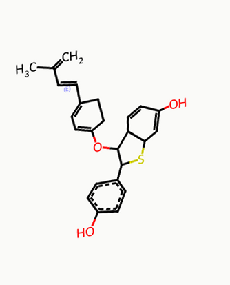 C=C(C)/C=C/C1=CC=C(OC2C(c3ccc(O)cc3)SC3C=C(O)C=CC32)CC1